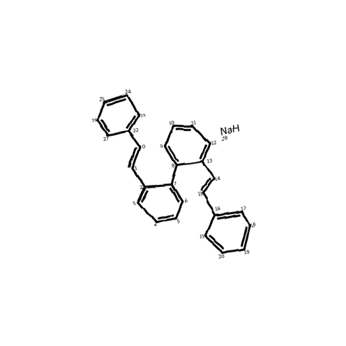 C(=C\c1ccccc1-c1ccccc1/C=C/c1ccccc1)/c1ccccc1.[NaH]